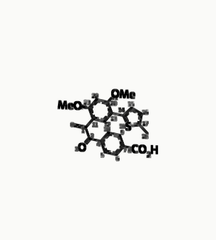 C=C(C(=O)c1ccc(C(=O)O)cc1)c1cc(-c2ccc(C)s2)c(OC)cc1OC